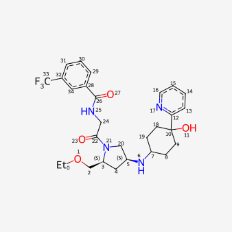 CCOC[C@@H]1C[C@H](NC2CCC(O)(c3ccccn3)CC2)CN1C(=O)CNC(=O)c1cccc(C(F)(F)F)c1